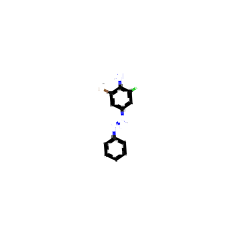 Nc1c(Cl)cc(/N=N/c2ccccc2)cc1Br